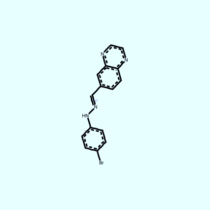 Brc1ccc(N/N=C/c2ccc3nccnc3c2)cc1